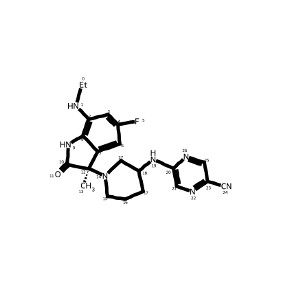 CCNc1cc(F)cc2c1NC(=O)[C@]2(C)N1CCCC(Nc2cnc(C#N)cn2)C1